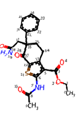 CCOC(=O)c1c(NC(C)=O)sc2c1CCC(CC(N)=O)(c1ccccc1)C2=O